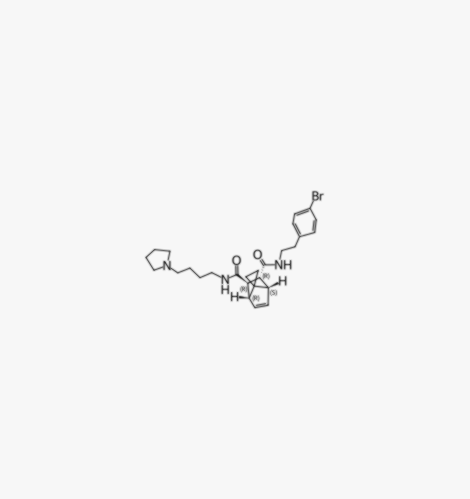 O=C(NCCCCN1CCCC1)[C@H]1[C@H](C(=O)NCCc2ccc(Br)cc2)[C@@H]2C=C[C@H]1C21CC1